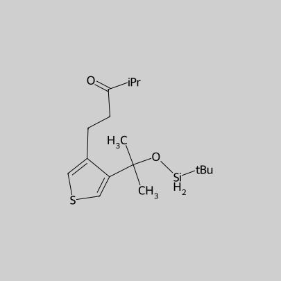 CC(C)C(=O)CCc1cscc1C(C)(C)O[SiH2]C(C)(C)C